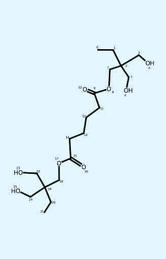 CCC(CO)(CO)COC(=O)CCCCC(=O)OCC(CC)(CO)CO